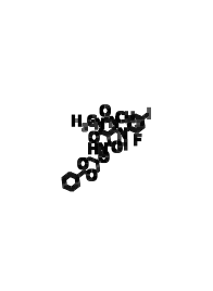 Cn1c(Nc2ccc(I)cc2F)c(C(=O)NOC2COC(c3ccccc3)OC2)c(=O)n(C)c1=O